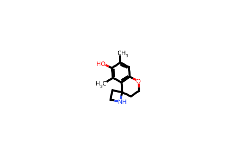 Cc1cc2c(c(C)c1O)C1(CCN1)CCO2